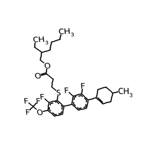 CCCCC(CC)COC(=O)CCSc1c(-c2ccc(C3=CCC(C)CC3)c(F)c2F)ccc(OC(F)(F)F)c1F